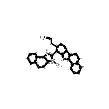 C=CCc1ccc2c(sc3c4ccccc4ccc23)c1-c1[nH]c2c3ccccc3ccc2[n+]1C